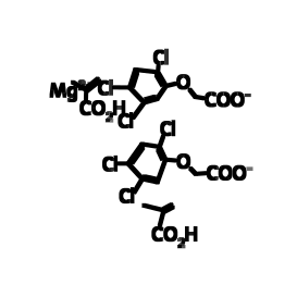 C=C(C)C(=O)O.C=C(C)C(=O)O.O=C([O-])COc1cc(Cl)c(Cl)cc1Cl.O=C([O-])COc1cc(Cl)c(Cl)cc1Cl.[Mg+2]